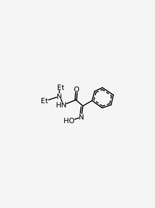 CCN(CC)NC(=O)C(=NO)c1ccccc1